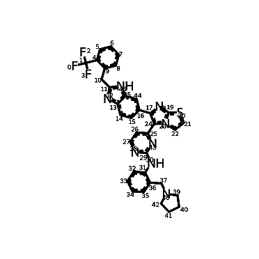 FC(F)(F)c1ccccc1Cc1nc2ccc(-c3nc4sccn4c3-c3ccnc(Nc4ccccc4CN4CCCC4)n3)cc2[nH]1